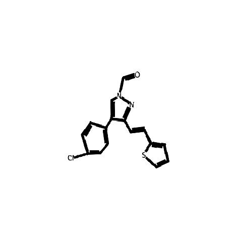 O=Cn1cc(-c2ccc(Cl)cc2)c(C=Cc2cccs2)n1